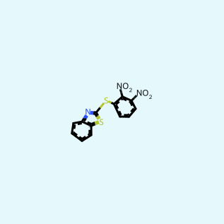 O=[N+]([O-])c1cccc(Sc2nc3ccccc3s2)c1[N+](=O)[O-]